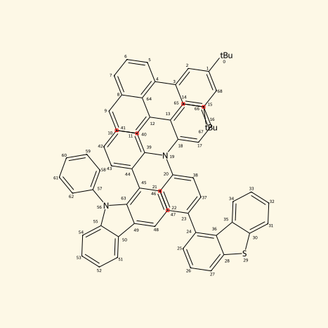 CC(C)(C)c1cc(-c2cccc3cccc(-c4ccccc4N(c4ccc(-c5cccc6sc7ccccc7c56)cc4)c4ccccc4-c4cccc5c6ccccc6n(-c6ccccc6)c45)c23)cc(C(C)(C)C)c1